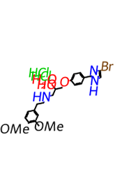 COc1ccc(CCNCC(O)COc2ccc(-c3nc(Br)c[nH]3)cc2)cc1OC.Cl.Cl.O